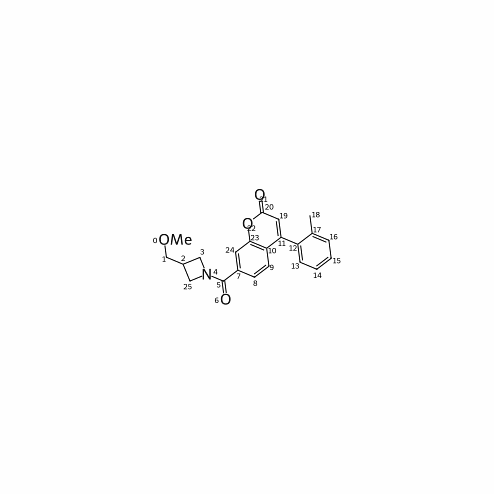 COCC1CN(C(=O)c2ccc3c(-c4ccccc4C)cc(=O)oc3c2)C1